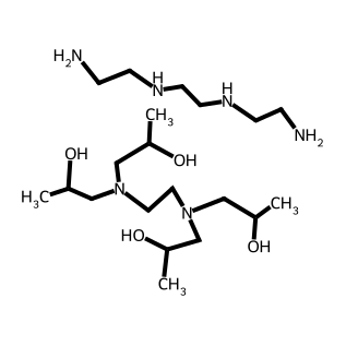 CC(O)CN(CCN(CC(C)O)CC(C)O)CC(C)O.NCCNCCNCCN